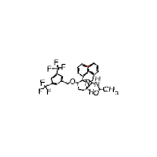 CC(=O)N[C@@H]1C[C@@]2(c3ccccc3)[C@H](OCc3cc(C(F)(F)F)cc(C(F)(F)F)c3)CC[C@@H]1N2Cc1ccccc1